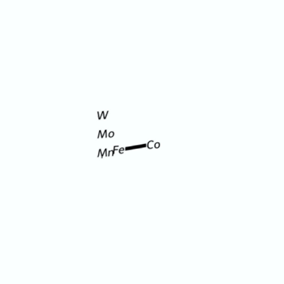 [Fe][Co].[Mn].[Mo].[W]